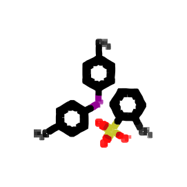 Cc1ccc([I+]c2ccc(C)cc2)cc1.O=S(=O)([O-])c1ccccc1C(F)(F)F